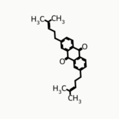 CC(C)=CCCc1ccc2c(c1)C(=O)c1cc(CCC=C(C)C)ccc1C2=O